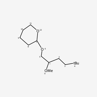 COC(CCC(C)(C)C)COC1CCCCO1